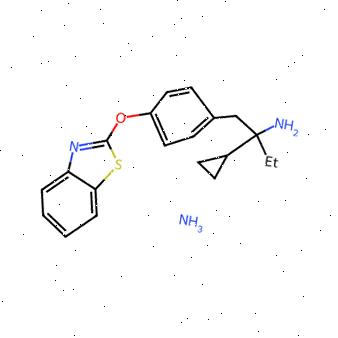 CCC(N)(Cc1ccc(Oc2nc3ccccc3s2)cc1)C1CC1.N